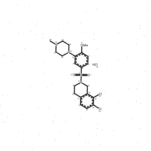 COc1ccc(S(=O)(=O)N2CCc3ccc(Cl)c(Cl)c3C2)cc1N1CCN(C)CC1.Cl